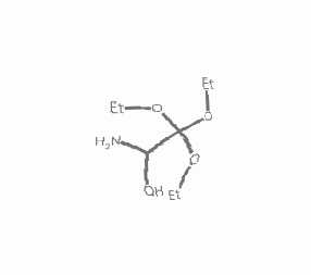 CCOC(OCC)(OCC)C(N)O